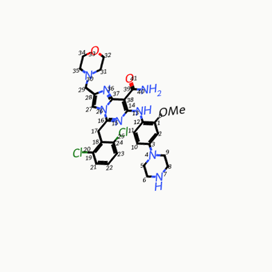 COc1cc(N2CCNCC2)ccc1Nc1nc(Cc2c(Cl)cccc2Cl)n2cc(CN3CCOCC3)nc2c1C(N)=O